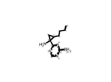 CCCCC1CC1(N)c1ncnc(N)n1